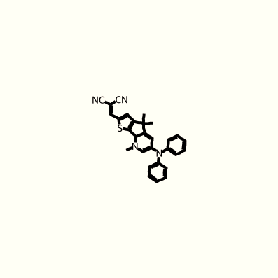 CN1C=C(N(c2ccccc2)c2ccccc2)C=C2C1c1sc(C=C(C#N)C#N)cc1C2(C)C